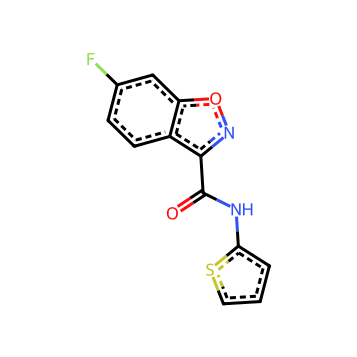 O=C(Nc1cccs1)c1noc2cc(F)ccc12